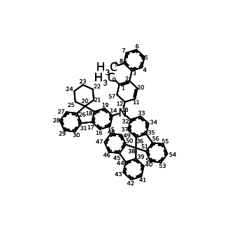 CC1=C(c2ccccc2C)C=CC(N(c2ccc3c(c2)C2(CCCCC2)c2ccccc2-3)c2ccc3c(c2)C2(c4ccccc4-c4ccccc42)c2ccccc2-3)C1